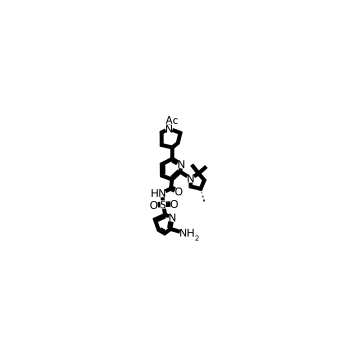 CC(=O)N1CCC(c2ccc(C(=O)NS(=O)(=O)c3cccc(N)n3)c(N3C[C@@H](C)CC3(C)C)n2)CC1